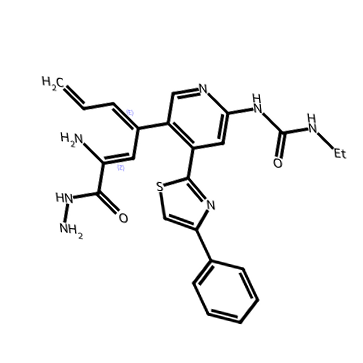 C=C/C=C(\C=C(/N)C(=O)NN)c1cnc(NC(=O)NCC)cc1-c1nc(-c2ccccc2)cs1